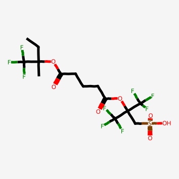 CCC(C)(OC(=O)CCCC(=O)OC(CS(=O)(=O)O)(C(F)(F)F)C(F)(F)F)C(F)(F)F